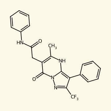 Cc1[nH]c2c(-c3ccccc3)c(C(F)(F)F)nn2c(=O)c1CC(=O)Nc1ccccc1